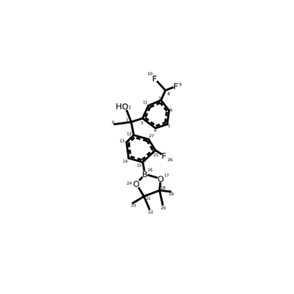 CC(O)(c1cccc(C(F)F)c1)c1ccc(B2OC(C)(C)C(C)(C)O2)c(F)c1